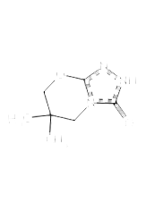 CC1(C)COc2n[nH]c(=O)n2C1